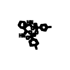 Cc1ccc(S(=O)(=O)OC(=N)C2C3C=CC(C3)C2C(=N)OS(=O)(=O)c2ccc(C)cc2)cc1